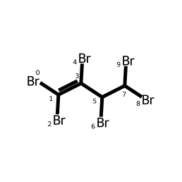 BrC(Br)=C(Br)C(Br)C(Br)Br